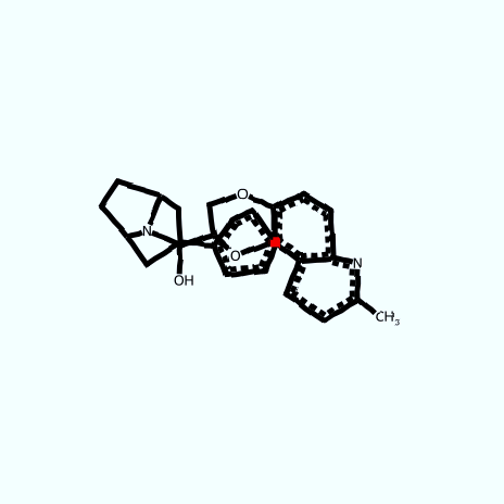 Cc1ccc2c3c(ccc2n1)OCC(CN1C2CCC1CC(O)(c1ccccc1)C2)O3